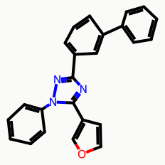 c1ccc(-c2cccc(-c3nc(-c4ccoc4)n(-c4ccccc4)n3)c2)cc1